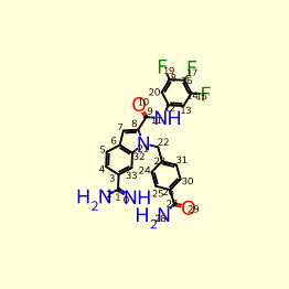 N=C(N)c1ccc2cc(C(=O)Nc3cc(F)c(F)c(F)c3)n(Cc3ccc(C(N)=O)cc3)c2c1